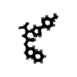 CC(C)C(OC(=O)Cc1ccc2ccccc2c1)C1CC(c2ccc(Br)cn2)=NO1